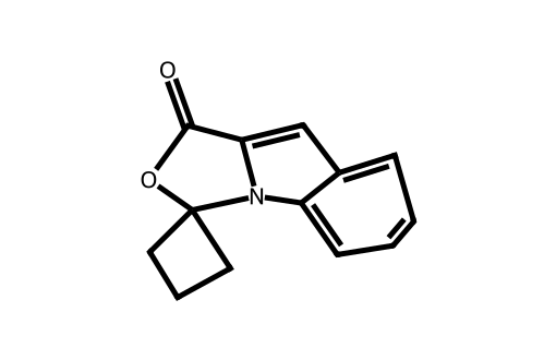 O=C1OC2(CCC2)n2c1cc1ccccc12